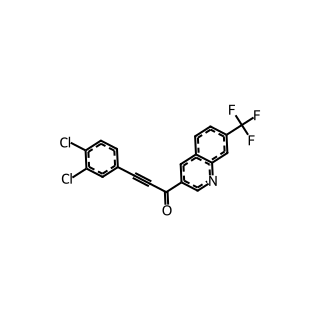 O=C(C#Cc1ccc(Cl)c(Cl)c1)c1cnc2cc(C(F)(F)F)ccc2c1